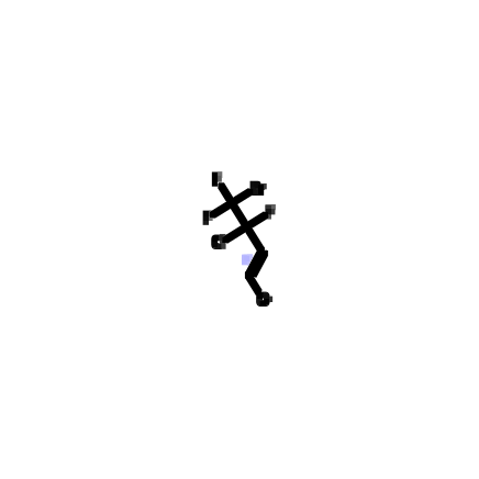 [O]/C=C/C(F)(Cl)C(F)(F)Br